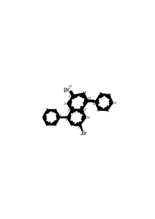 Brc1cc(-c2ccccc2)c2cc(Br)cc(-c3ccccc3)c2c1